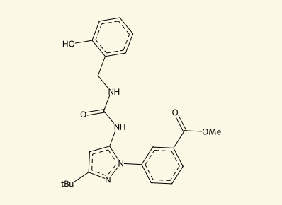 COC(=O)c1cccc(-n2nc(C(C)(C)C)cc2NC(=O)NCc2ccccc2O)c1